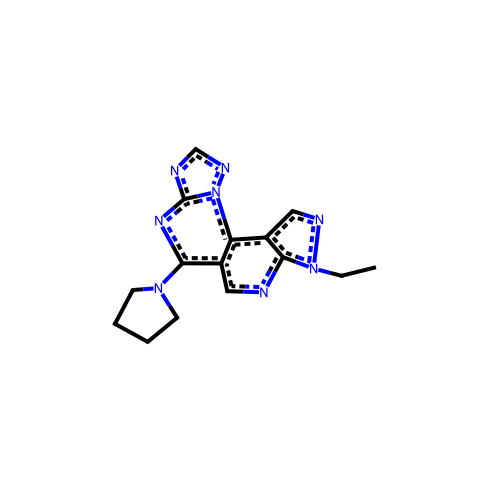 CCn1ncc2c1ncc1c(N3CCCC3)nc3ncnn3c12